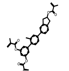 C=C(C)C(=O)Oc1cc(OC(=O)C(=C)C)cc(-c2ccc(-c3ccc4c(c3)CC(OC(=O)C(=C)C)C4)cc2C)c1